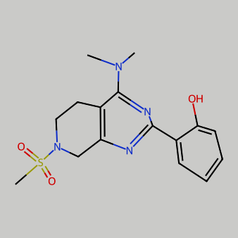 CN(C)c1nc(-c2ccccc2O)nc2c1CCN(S(C)(=O)=O)C2